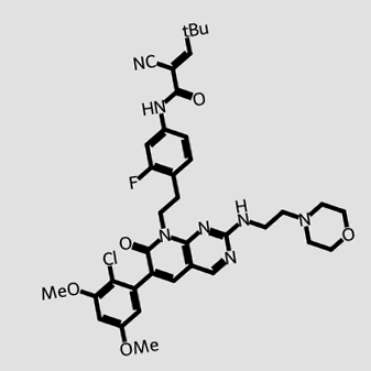 COc1cc(OC)c(Cl)c(-c2cc3cnc(NCCN4CCOCC4)nc3n(CCc3ccc(NC(=O)/C(C#N)=C/C(C)(C)C)cc3F)c2=O)c1